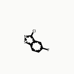 Fc1ccc2snc(Cl)c2c1